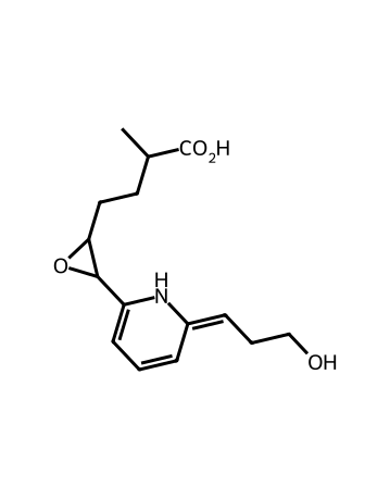 CC(CCC1OC1C1=CC=CC(=CCCO)N1)C(=O)O